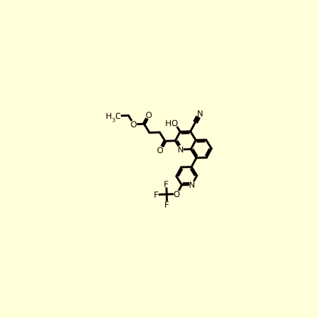 CCOC(=O)CCC(=O)c1nc2c(-c3ccc(OC(F)(F)F)nc3)cccc2c(C#N)c1O